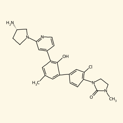 Cc1cc(-c2ccnc(N3CC[C@H](N)C3)c2)c(O)c(-c2ccc(N3CCN(C)C3=O)c(Cl)c2)c1